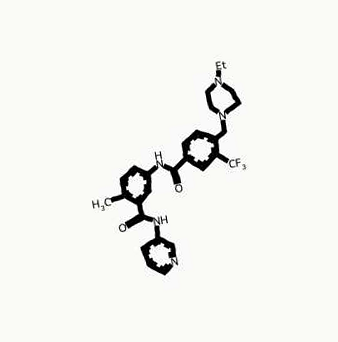 CCN1CCN(Cc2ccc(C(=O)Nc3ccc(C)c(C(=O)Nc4cccnc4)c3)cc2C(F)(F)F)CC1